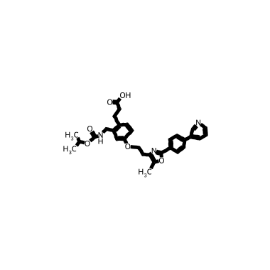 Cc1oc(-c2ccc(-c3cccnc3)cc2)nc1CCOc1ccc(CCC(=O)O)c(CNC(=O)OC(C)C)c1